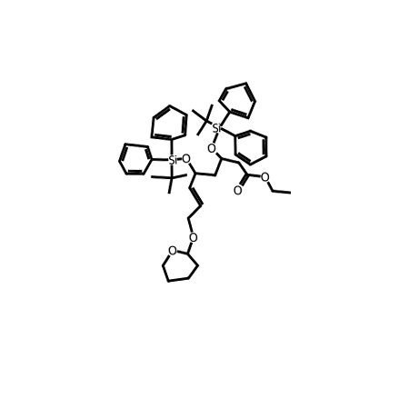 CCOC(=O)CC(CC(/C=C/COC1CCCCO1)O[Si](c1ccccc1)(c1ccccc1)C(C)(C)C)O[Si](c1ccccc1)(c1ccccc1)C(C)(C)C